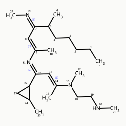 CCCCCC(C)C(/C=C(C)/N=C(\C=C(/C)N(C)CCNC)C1CC1C)=N/C